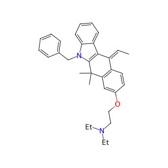 C/C=C1\c2ccc(OCCN(CC)CC)cc2C(C)(C)c2c1c1ccccc1n2Cc1ccccc1